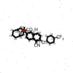 CC(c1ccc2c(C#N)c(O[C@H]3CC[C@H](C(F)(F)F)CC3)ccc2c1)N1C2CCCC1CC(C(=O)O)C2